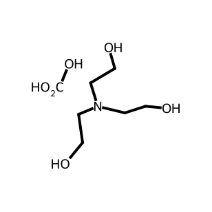 O=C(O)O.OCCN(CCO)CCO